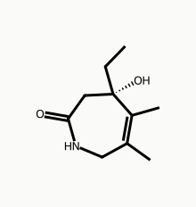 CC[C@]1(O)CC(=O)NCC(C)=C1C